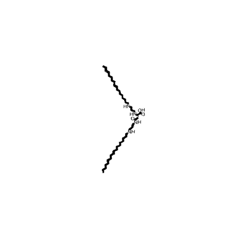 CCCCCCCCC=CCCCCCCCCNCCCNC(=O)C[C@H](NCCCNCCCCCCCCC=CCCCCCCCC)C(=O)O